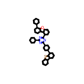 c1ccc(-c2nc(-c3ccc(-c4cccc5c4sc4ccccc45)cc3)nc(-c3cccc4oc5c(-c6ccccc6)cccc5c34)n2)cc1